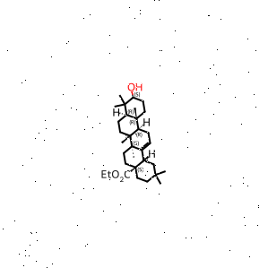 CCOC(=O)[C@]12CCC(C)(C)C[C@H]1C1=CC[C@@H]3[C@@]4(C)CC[C@H](O)C(C)(C)[C@@H]4CC[C@@]3(C)[C@]1(C)CC2